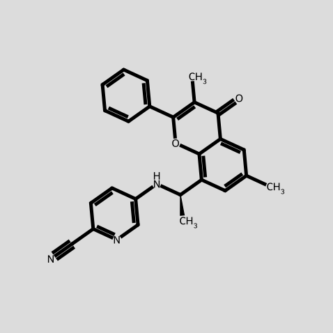 Cc1cc([C@@H](C)Nc2ccc(C#N)nc2)c2oc(-c3ccccc3)c(C)c(=O)c2c1